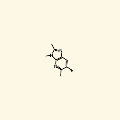 Cc1nc2c(cc1Br)nc(C)n2I